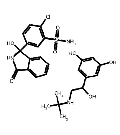 CC(C)(C)NCC(O)c1cc(O)cc(O)c1.NS(=O)(=O)c1cc(C2(O)NC(=O)c3ccccc32)ccc1Cl